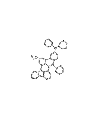 Cc1cc2c3c(c1)-n1c4ccccc4c4cccc(c41)B3N(c1ccccc1)c1ccc(N(c3ccccc3)c3ccccc3)cc1-2